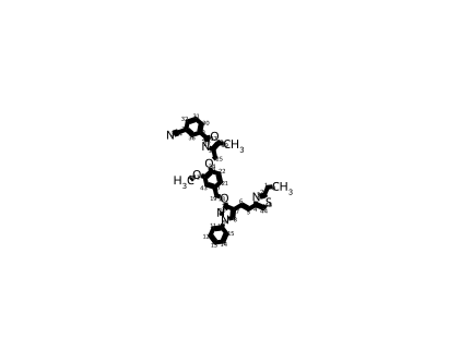 CCc1nc(C=Cc2cn(-c3ccccc3)nc2OCc2ccc(OCc3nc(-c4cccc(C#N)c4)oc3C)c(OC)c2)cs1